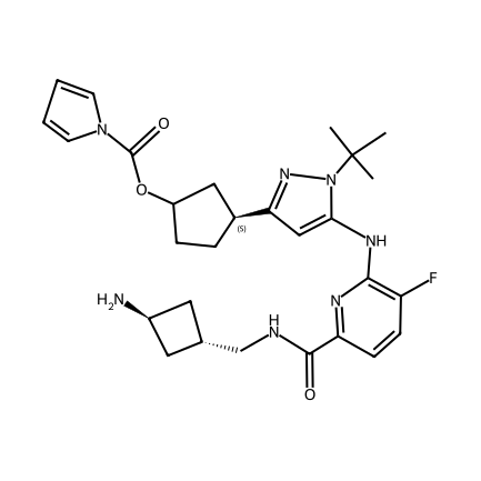 CC(C)(C)n1nc([C@H]2CCC(OC(=O)n3cccc3)C2)cc1Nc1nc(C(=O)NC[C@H]2C[C@H](N)C2)ccc1F